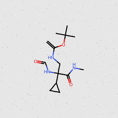 C=C(NCC(NC=O)(C(=O)NC)C1CC1)OC(C)(C)C